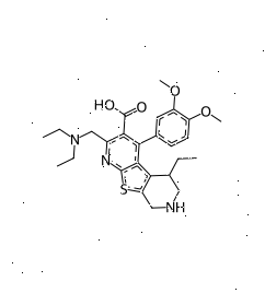 CCC1CNCc2sc3nc(CN(CC)CC)c(C(=O)O)c(-c4ccc(OC)c(OC)c4)c3c21